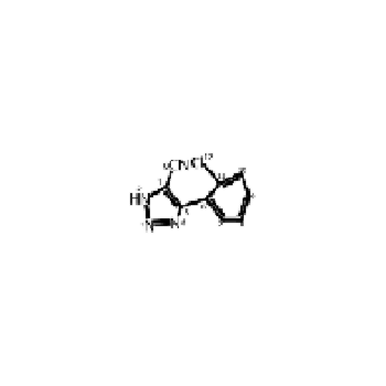 N#Cc1[nH]nnc1-c1ccccc1Cl